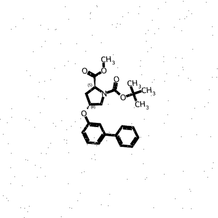 COC(=O)[C@@H]1C[C@@H](Oc2cccc(-c3ccccc3)c2)CN1C(=O)OC(C)(C)C